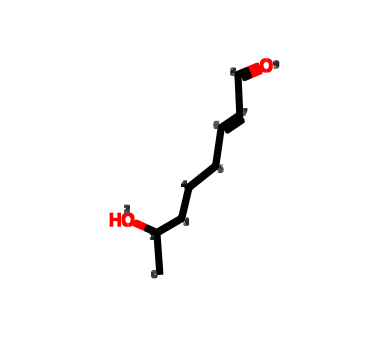 CC(O)CCCC=C[C]=O